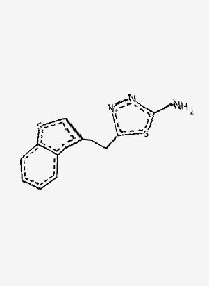 Nc1nnc(Cc2csc3ccccc23)s1